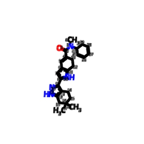 CN(C(=O)C1=Cc2cc(-c3n[nH]c4c3CCC(C)(C)C4)[nH]c2CC1)C1C=CC=CC1